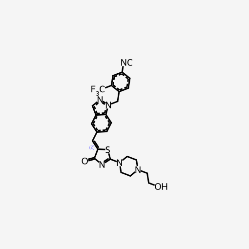 [C-]#[N+]c1ccc(Cn2ncc3cc(/C=C4\SC(N5CCN(CCO)CC5)=NC4=O)ccc32)c(C(F)(F)F)c1